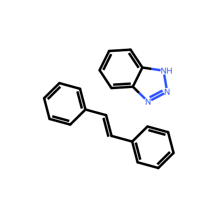 C(=Cc1ccccc1)c1ccccc1.c1ccc2[nH]nnc2c1